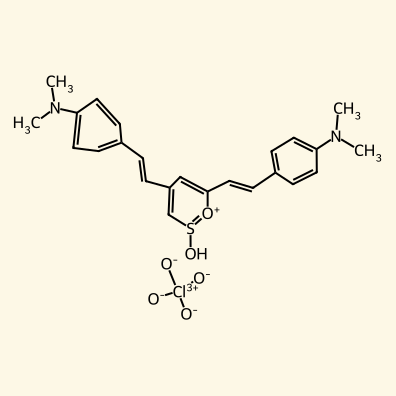 CN(C)c1ccc(C=CC2=CS(O)=[O+]C(C=Cc3ccc(N(C)C)cc3)=C2)cc1.[O-][Cl+3]([O-])([O-])[O-]